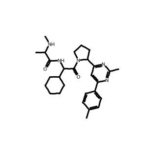 CNC(C)C(=O)NC(C(=O)N1CCCC1c1cc(-c2ccc(C)cc2)nc(C)n1)C1CCCCC1